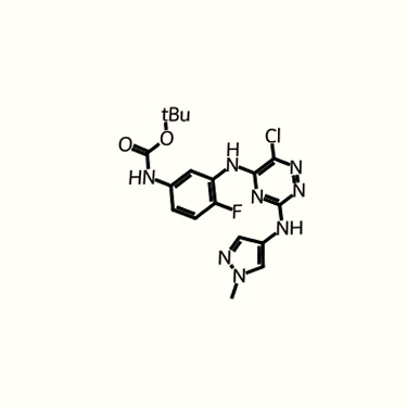 Cn1cc(Nc2nnc(Cl)c(Nc3cc(NC(=O)OC(C)(C)C)ccc3F)n2)cn1